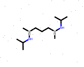 CC(C)N[SiH](C)CCC[SiH](C)NC(C)C